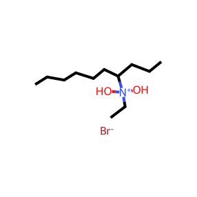 CCCCCCC(CCC)[N+](O)(O)CC.[Br-]